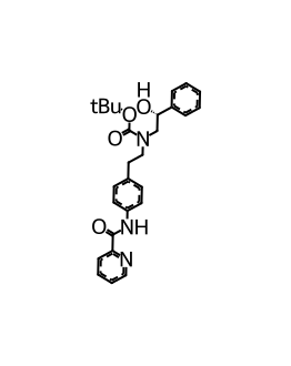 CC(C)(C)OC(=O)N(CCc1ccc(NC(=O)c2ccccn2)cc1)C[C@H](O)c1ccccc1